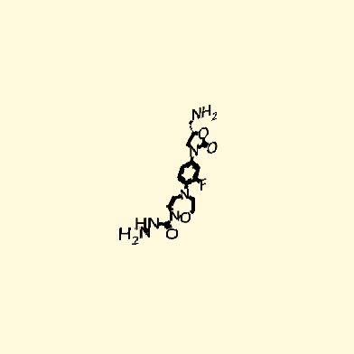 NC[C@H]1CN(c2ccc(N3CCON(C(=O)NN)CC3)c(F)c2)C(=O)O1